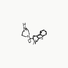 O=C(c1cc2c(cn1)sc1ccccc12)N1CCCNCC1